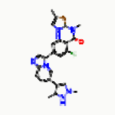 CC1=CNC(N(C)C(=O)c2ccc(-c3cnc4ccc(C5=CN(C)NC5C)cn34)cc2F)S1